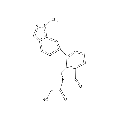 Cn1ncc2ccc(-c3cccc4c3CN(C(=O)CC#N)C4=O)cc21